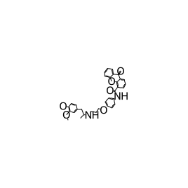 COc1ccc(CC(C)NCCCOc2ccc(NC(=O)c3cccc4c(=O)c5ccccc5oc34)cc2)cc1OC